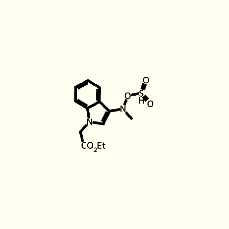 CCOC(=O)Cn1cc(N(C)O[SH](=O)=O)c2ccccc21